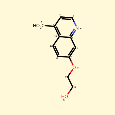 O=C(O)c1ccnc2cc(OCCO)ccc12